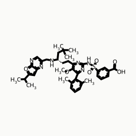 COc1c(CC[C@@H](CC(C)(C)C)NCc2cnc3oc(C(C)C)cc3n2)nc(NS(=O)(=O)c2cccc(C(=O)O)c2)nc1-c1c(C)cccc1C